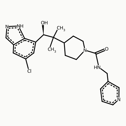 CC(C)(C1CCN(C(=O)NCc2cccnc2)CC1)[C@H](O)c1cc(Cl)cc2cn[nH]c12